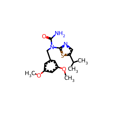 COc1cc(CN(C(N)=O)c2ncc(C(C)C)s2)cc(OC)c1